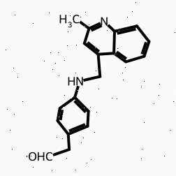 Cc1cc(CNc2ccc(C[C]=O)cc2)c2ccccc2n1